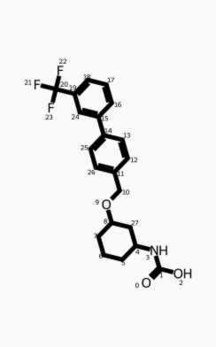 O=C(O)NC1CCCC(OCc2ccc(-c3cccc(C(F)(F)F)c3)cc2)C1